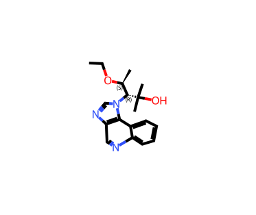 CCO[C@@H](C)[C@@H](n1cnc2cnc3ccccc3c21)C(C)(C)O